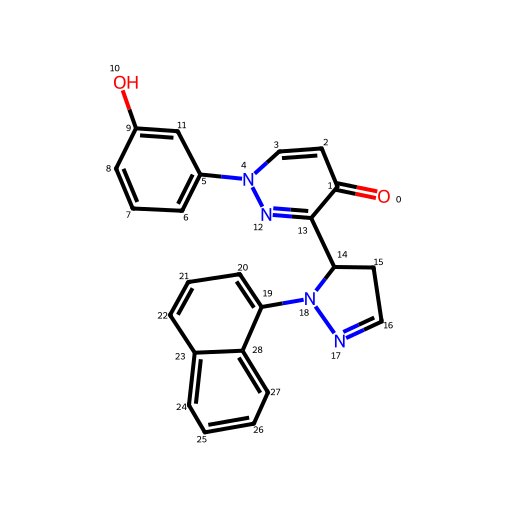 O=c1ccn(-c2cccc(O)c2)nc1C1CC=NN1c1cccc2ccccc12